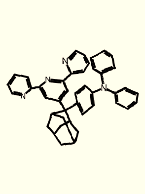 c1ccc(N(c2ccccc2)c2ccc(C3(c4cc(-c5ccccn5)nc(-c5ccccn5)c4)C4CC5CC(C4)CC3C5)cc2)cc1